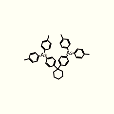 Cc1ccc([As](c2ccc(C)cc2)c2ccc(C3(c4ccc([As](c5ccc(C)cc5)c5ccc(C)cc5)cc4)CCCCC3)cc2)cc1